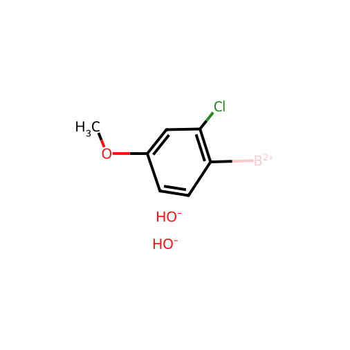 [B+2]c1ccc(OC)cc1Cl.[OH-].[OH-]